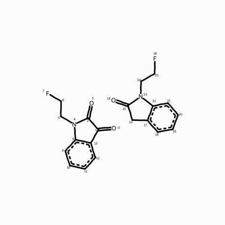 O=C1C(=O)N(CCF)c2ccccc21.O=C1Cc2ccccc2N1CCF